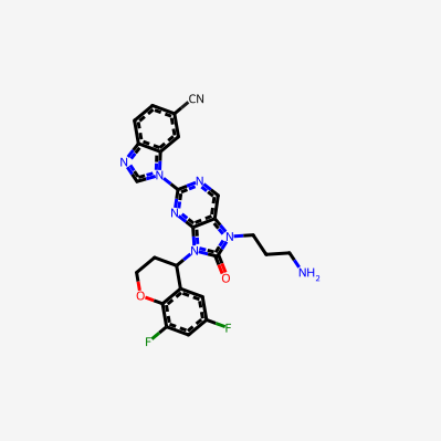 N#Cc1ccc2ncn(-c3ncc4c(n3)n(C3CCOc5c(F)cc(F)cc53)c(=O)n4CCCN)c2c1